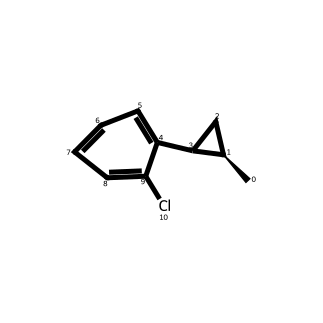 C[C@@H]1CC1c1ccccc1Cl